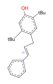 CC(C)(C)c1cc(C/C=C/c2ccccc2)c(C(C)(C)C)cc1O